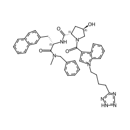 CN(Cc1ccccc1)C(=O)[C@H](Cc1ccc2ccccc2c1)NC(=O)[C@@H]1C[C@@H](O)CN1C(=O)c1cn(CCCCc2nn[nH]n2)c2ccccc12